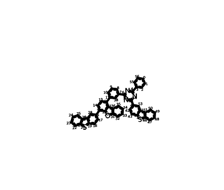 c1ccc(-c2nc(-c3cccc(-c4ccc(-c5ccc6sc7ccccc7c6c5)c5oc6ccccc6c45)c3)nc(-c3ccc4sc5ccccc5c4c3)n2)cc1